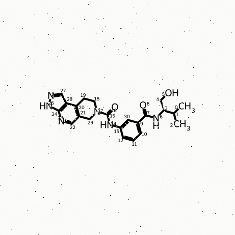 CC(C)[C@H](CO)NC(=O)c1cccc(NC(=O)N2CCc3c(cnc4[nH]ncc34)C2)c1